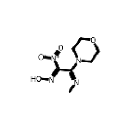 CN=C(C(=NO)[N+](=O)[O-])N1CCOCC1